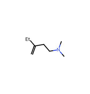 C=C(CC)CCN(C)C